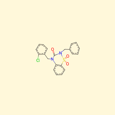 O=C1N(Cc2ccccc2Cl)c2ccccc2S(=O)(=O)N1Cc1ccccc1